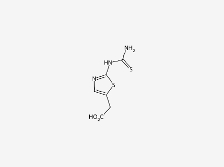 NC(=S)Nc1ncc(CC(=O)O)s1